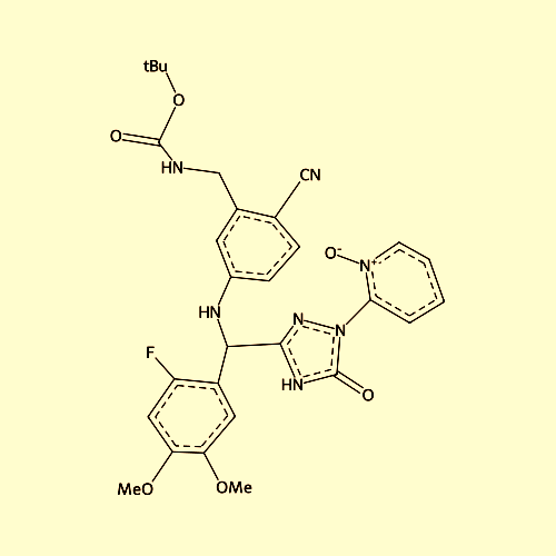 COc1cc(F)c(C(Nc2ccc(C#N)c(CNC(=O)OC(C)(C)C)c2)c2nn(-c3cccc[n+]3[O-])c(=O)[nH]2)cc1OC